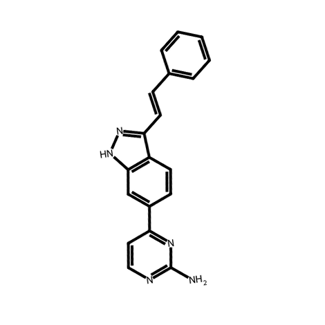 Nc1nccc(-c2ccc3c(/C=C/c4ccccc4)n[nH]c3c2)n1